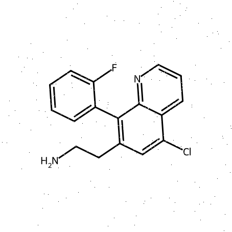 NCCc1cc(Cl)c2cccnc2c1-c1ccccc1F